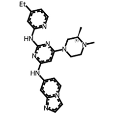 CCc1ccnc(Nc2nc(Nc3ccn4ccnc4c3)cc(N3CCN(C)[C@H](C)C3)n2)c1